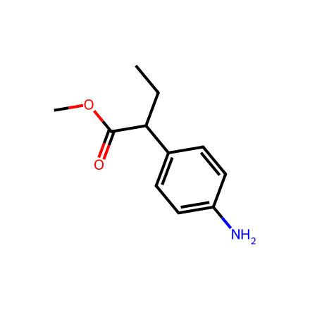 CCC(C(=O)OC)c1ccc(N)cc1